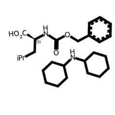 C1CCC(NC2CCCCC2)CC1.CC(C)C[C@H](NC(=O)OCc1ccccc1)C(=O)O